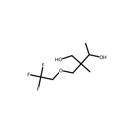 CC(O)C(C)(CO)COCC(F)(F)F